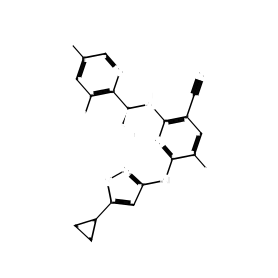 C[C@H](Nc1nc(Nc2cc(C3CC3)[nH]n2)c(F)cc1C#N)c1ncc(F)cc1F